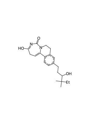 CCC(C)(C)C(O)CCc1ccc2c(c1)CCN1C(=O)N=C(O)CC=C21